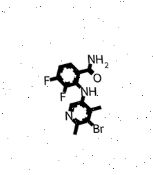 Cc1ncc(Nc2c(C(N)=O)ccc(F)c2F)c(C)c1Br